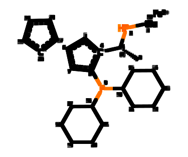 C[C@@H](PC(C)(C)C)[c-]1cccc1P(C1CCCCC1)C1CCCCC1.[Fe+2].c1cc[cH-]c1